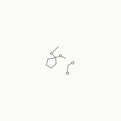 COC1(OC)CCCC1.ClCCl